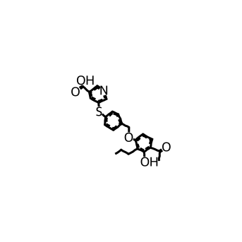 CCCc1c(OCc2ccc(Sc3cncc(C(=O)O)c3)cc2)ccc(C(C)=O)c1O